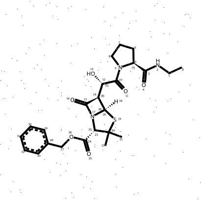 CCNC(=O)[C@@H]1CCCN1C(=O)[C@@H](O)[C@@H]1C(=O)N2[C@@H]1SC(C)(C)[C@@H]2C(=O)OCc1ccccc1